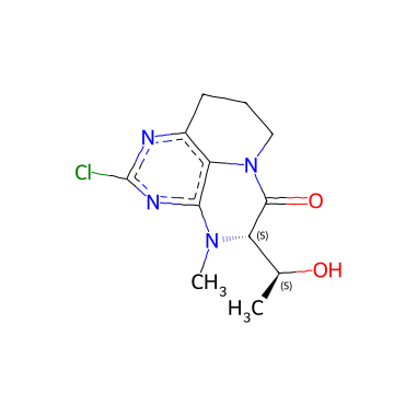 C[C@H](O)[C@H]1C(=O)N2CCCc3nc(Cl)nc(c32)N1C